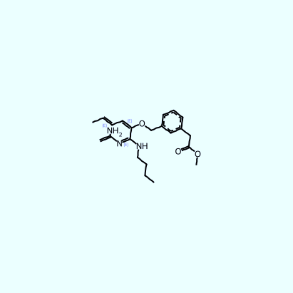 C=C(N)\N=C(NCCCC)/C(=C\C=C\C)OCc1cccc(CC(=O)OC)c1